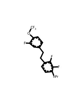 CCCc1ccc(CCc2ccc(OC(F)(F)F)c(F)c2)c(F)c1F